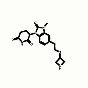 Cn1c(=O)n(C2CCC(=O)NC2=O)c2ccc(CCOC3CNC3)cc21